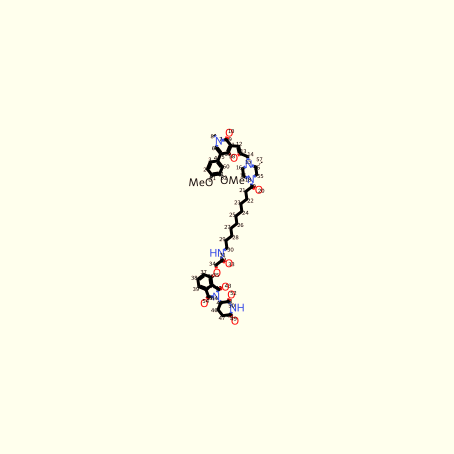 COc1ccc(-c2cn(C)c(=O)c3cc(CN4CCN(C(=O)CCCCCCCCCCNC(=O)COc5cccc6c5C(=O)N(C5CCC(=O)NC5=O)C6=O)C[C@H]4C)oc23)cc1OC